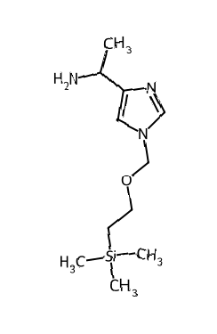 CC(N)c1cn(COCC[Si](C)(C)C)cn1